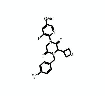 COc1cnc(N2CC(=O)N(Cc3ccc(C(F)(F)F)cc3)C(C3COC3)C2=O)c(F)c1